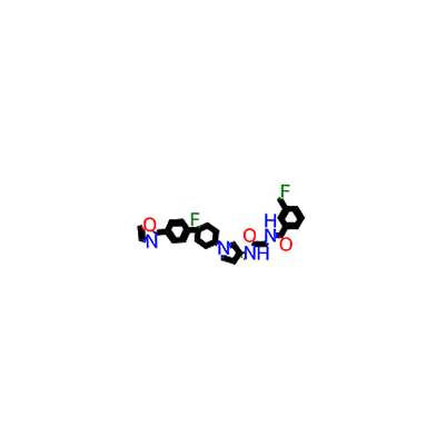 O=C(CNC(=O)c1cccc(CF)c1)N[C@@H]1CCN(C2CCC(F)(c3ccc(-c4ncco4)cc3)CC2)C1